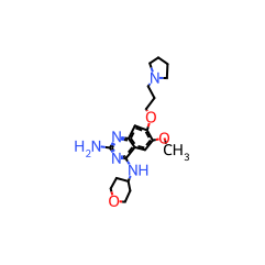 COc1cc2c(NC3CCOCC3)nc(N)nc2cc1OCCCN1CCCC1